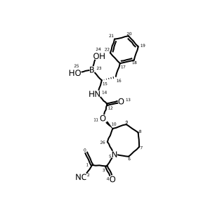 C=C(C#N)C(=O)N1CCCC[C@H](OC(=O)N[C@@H](Cc2ccccc2)B(O)O)C1